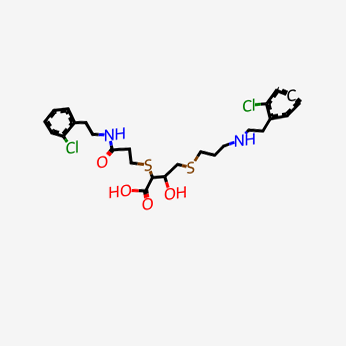 O=C(CCSC(C(=O)O)C(O)CSCCCNCCc1ccccc1Cl)NCCc1ccccc1Cl